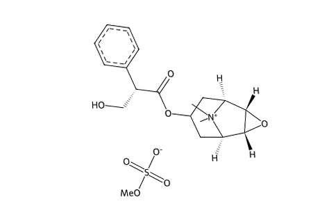 COS(=O)(=O)[O-].C[N+]1(C)[C@@H]2CC(OC(=O)[C@H](CO)c3ccccc3)C[C@H]1[C@@H]1O[C@@H]12